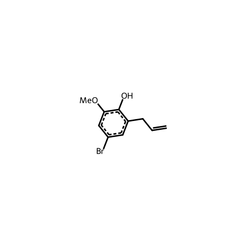 C=CCc1cc(Br)cc(OC)c1O